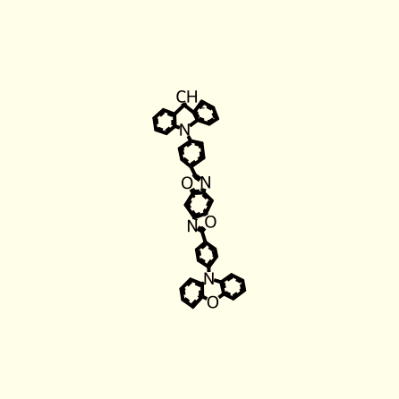 C=C1c2ccccc2N(c2ccc(-c3nc4cc5oc(-c6ccc(N7c8ccccc8Oc8ccccc87)cc6)nc5cc4o3)cc2)c2ccccc21